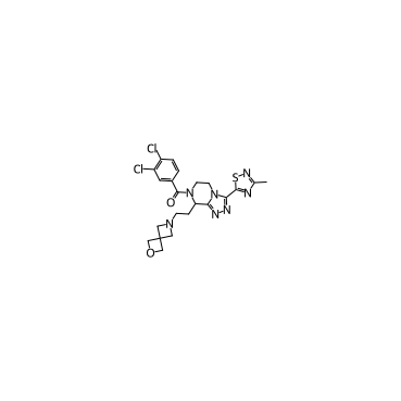 Cc1nsc(-c2nnc3n2CCN(C(=O)c2ccc(Cl)c(Cl)c2)C3CCN2CC3(COC3)C2)n1